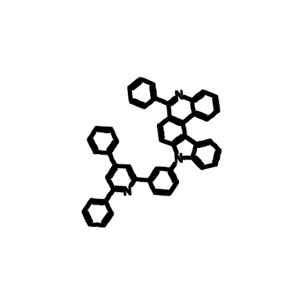 c1ccc(-c2cc(-c3ccccc3)nc(-c3cccc(-n4c5ccccc5c5c6c(ccc54)c(-c4ccccc4)nc4ccccc46)c3)c2)cc1